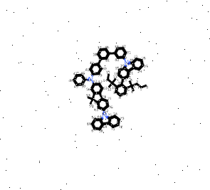 CCCC(C)(C)c1cccc(C(C)(C)CC)c1-c1ccc2c(c1)c1ccccc1n2-c1cccc(-c2cccc(-c3ccc(N(c4ccccc4)c4ccc5c(c4)C(C)(C)c4cc(-n6c7ccccc7c7ccccc76)ccc4-5)cc3)c2)c1